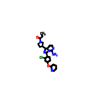 C=CC(=O)N1CCC(c2nc(-c3ccc(Oc4ccccn4)cc3Cl)n3c(N)nccc23)C1